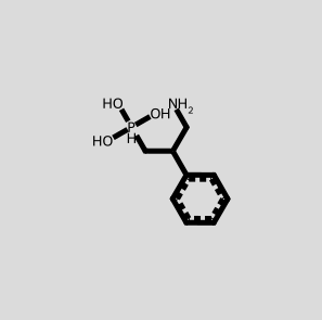 NCC(C[PH](O)(O)O)c1ccccc1